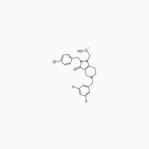 C[C@@H](O)Cn1c2c(c(=O)n1Cc1ccc(Cl)cc1)CN(Cc1cc(F)cc(F)c1)CC2